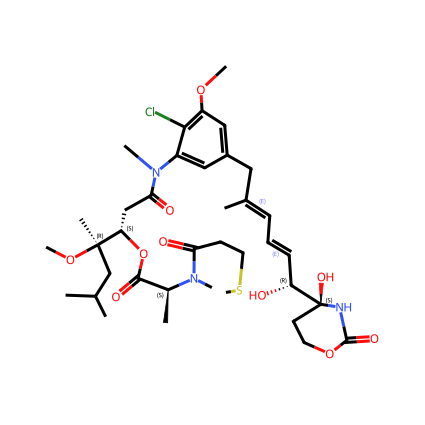 COc1cc(C/C(C)=C/C=C/[C@@H](O)[C@@]2(O)CCOC(=O)N2)cc(N(C)C(=O)C[C@H](OC(=O)[C@H](C)N(C)C(=O)CCSC)[C@@](C)(CC(C)C)OC)c1Cl